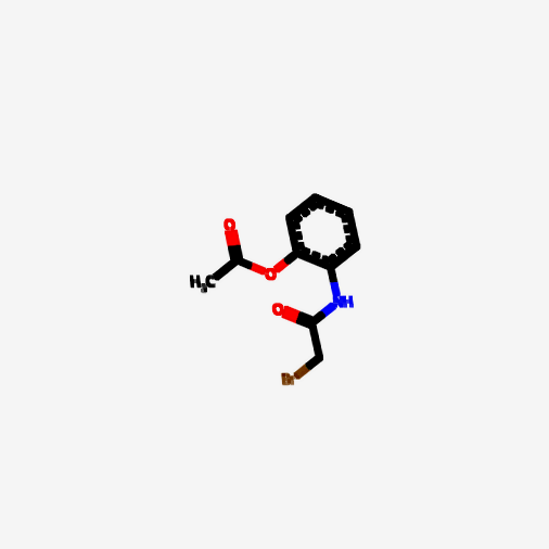 CC(=O)Oc1ccccc1NC(=O)CBr